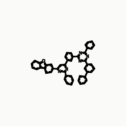 c1ccc(-c2cccc(-c3nc(-c4ccccc4)nc(-c4cccc(-c5cc(-c6ccc7c(c6)oc6ccccc67)nc(-c6ccccc6)n5)c4)n3)c2)cc1